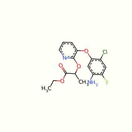 CCOC(=O)C(C)Oc1ncccc1Oc1cc(N)c(F)cc1Cl